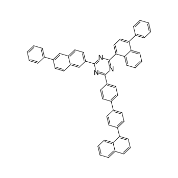 c1ccc(-c2ccc3cc(-c4nc(-c5ccc(-c6ccc(-c7cccc8ccccc78)cc6)cc5)nc(-c5ccc(-c6ccccc6)c6ccccc56)n4)ccc3c2)cc1